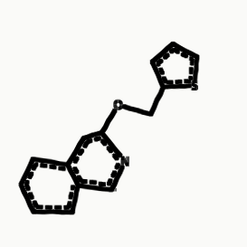 [c]1nc(OCc2cccs2)cc2ccccc12